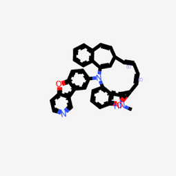 CNc1c2oc3cccc(c13)N(c1ccc3oc4ccncc4c3c1)C1=CC(C=Cc3ccccc31)/C=C/C=C\2